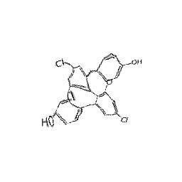 Oc1ccc(-c2cc(Cl)cc(Cl)c2-c2c(Cl)cc(Cl)cc2-c2ccc(O)cc2)cc1